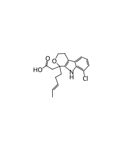 CC=CCCC1(CC(=O)O)OCCc2c1[nH]c1c(Cl)cccc21